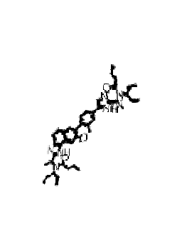 CCCC(=O)N(C(CC)CC)[C@@H](C)c1ncc(-c2ccc3c(c2)COc2cc4c(ccc5nc([C@H](C)N(C(=O)CCC)C(CC)CC)[nH]c54)cc2-3)[nH]1